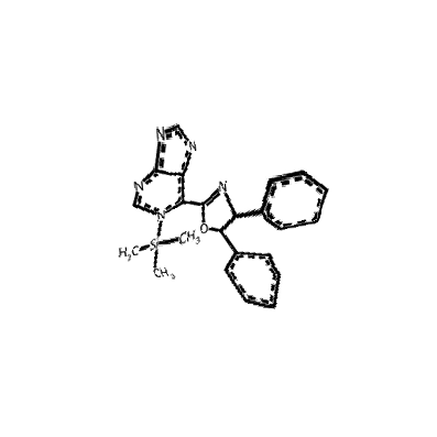 C[Si](C)(C)n1cnc2ncnc-2c1C1=NC(c2ccccc2)C(c2ccccc2)O1